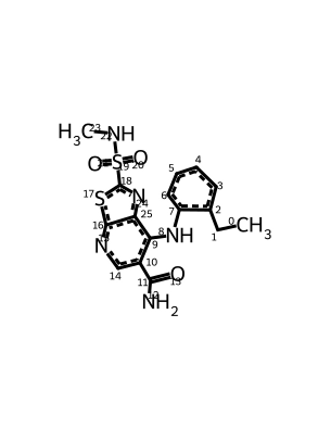 CCc1ccccc1Nc1c(C(N)=O)cnc2sc(S(=O)(=O)NC)nc12